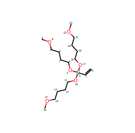 C=C[Si](OCCCCOC)(OCCCCOC)OCCCCOC